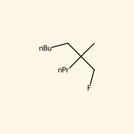 CCCCCC(C)(CF)CCC